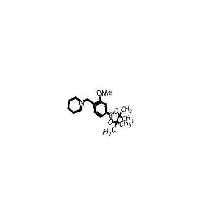 COc1cc(B2OC(C)(C)C(C)(C)O2)ccc1CN1CCCCC1